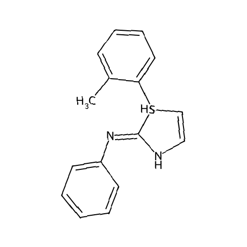 Cc1ccccc1[SH]1C=CNC1=Nc1ccccc1